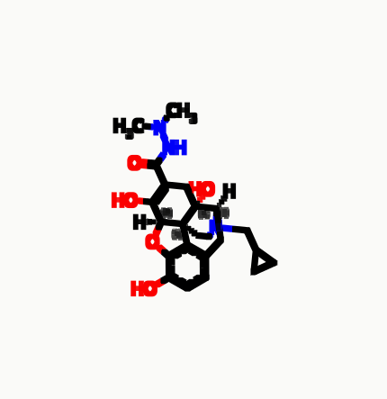 CN(C)NC(=O)C1=C(O)[C@@H]2Oc3c(O)ccc4c3[C@@]23CCN(CC2CC2)[C@H](C4)[C@]3(O)C1